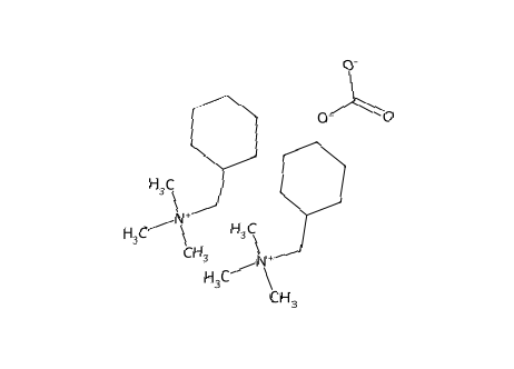 C[N+](C)(C)CC1CCCCC1.C[N+](C)(C)CC1CCCCC1.O=C([O-])[O-]